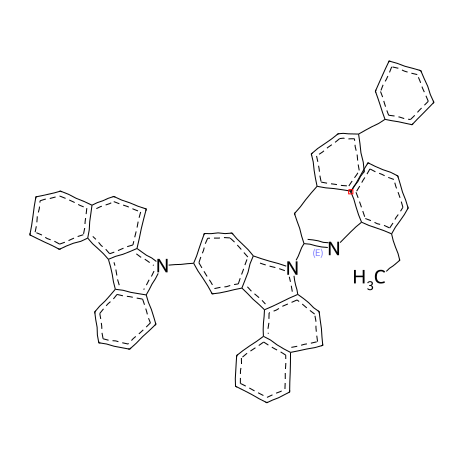 CCc1ccccc1/N=C(\Cc1ccc(-c2ccccc2)cc1)n1c2ccc(-n3c4ccccc4c4c5ccccc5ccc43)cc2c2c3ccccc3ccc21